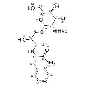 CC(=O)N[C@@H]1C(OC[C@H](C)C(=O)N[C@@H](Cc2ccccc2)C(N)=O)OC(CO)[C@@H](O)[C@@H]1O